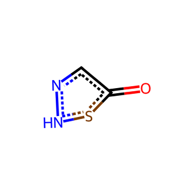 O=c1cn[nH]s1